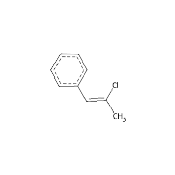 C/C(Cl)=C/c1ccccc1